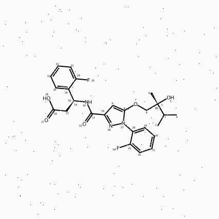 CC(C)[C@@](C)(O)COc1cc(C(=O)N[C@@H](CC(=O)O)c2ccccc2F)nn1-c1ccccc1F